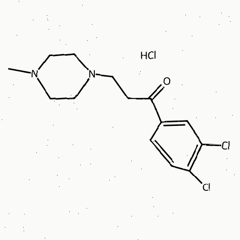 CN1CCN(CCC(=O)c2ccc(Cl)c(Cl)c2)CC1.Cl